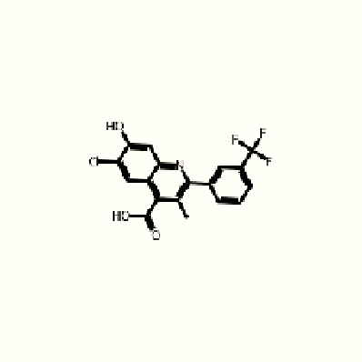 Cc1c(-c2cccc(C(F)(F)F)c2)nc2cc(O)c(Cl)cc2c1C(=O)O